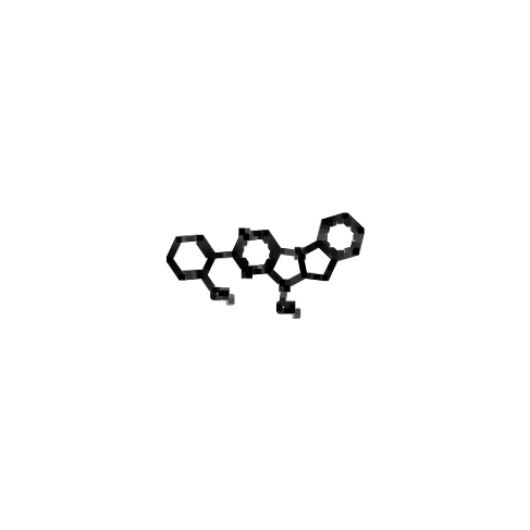 CC1=CCCC=C1c1ncc2c(n1)N(C)C1Cc3ccccc3N21